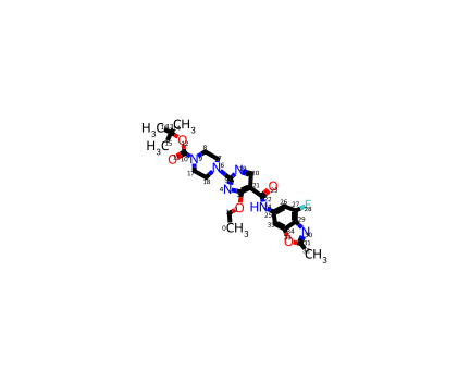 CCOc1nc(N2CCN(C(=O)OC(C)(C)C)CC2)ncc1C(=O)Nc1cc(F)c2nc(C)oc2c1